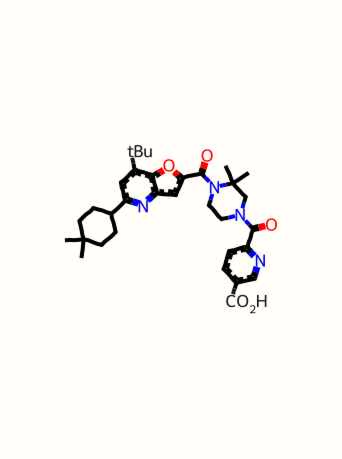 CC1(C)CCC(c2cc(C(C)(C)C)c3oc(C(=O)N4CCN(C(=O)c5ccc(C(=O)O)cn5)CC4(C)C)cc3n2)CC1